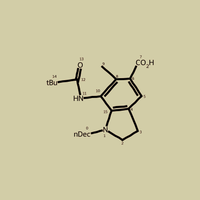 CCCCCCCCCCN1CCc2cc(C(=O)O)c(C)c(NC(=O)C(C)(C)C)c21